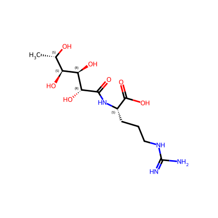 C[C@H](O)[C@H](O)[C@@H](O)[C@@H](O)C(=O)N[C@@H](CCCNC(=N)N)C(=O)O